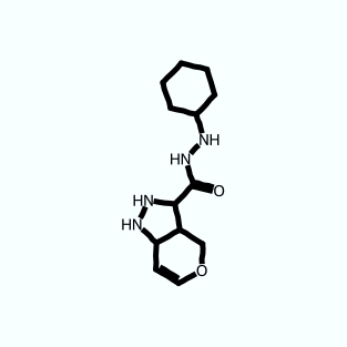 O=C(NNC1CCCCC1)C1NNC2C=COCC21